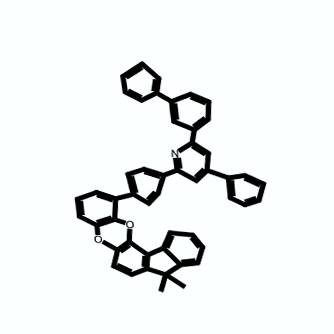 CC1(C)c2ccccc2-c2c1ccc1c2Oc2c(cccc2-c2ccc(-c3cc(-c4ccccc4)cc(-c4cccc(-c5ccccc5)c4)n3)cc2)O1